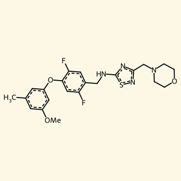 COc1cc(C)cc(Oc2cc(F)c(CNc3nc(CN4CCOCC4)ns3)cc2F)c1